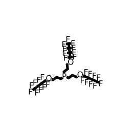 FC(F)(F)C(F)(F)C(F)(F)C(F)(F)OCCCP(CCCOC(F)(F)C(F)(F)C(F)(F)C(F)(F)F)CCCOC(F)(F)C(F)(F)C(F)(F)C(F)(F)F